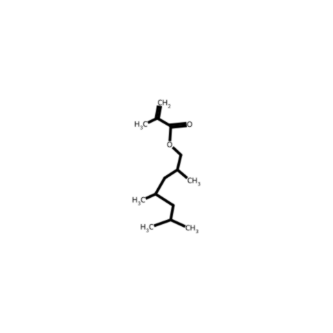 C=C(C)C(=O)OCC(C)CC(C)CC(C)C